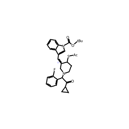 CC(=O)SC1CCN(C(C(=O)C2CC2)c2ccccc2F)C/C1=C/c1cn(C(=O)OC(C)(C)C)c2ccccc12